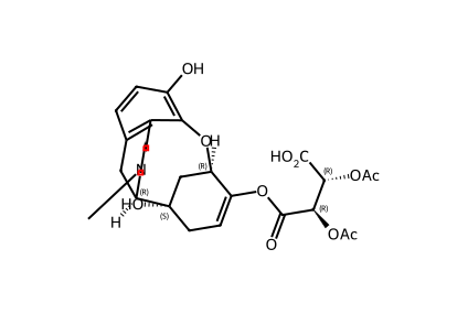 CC(=O)O[C@@H](C(=O)O)[C@@H](OC(C)=O)C(=O)OC1=CC[C@]2(O)C[C@H]1Oc1c(O)ccc3c1CCCN(C)[C@@H]2C3